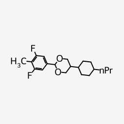 CCCC1CCC(C2COC(c3cc(F)c(C)c(F)c3)OC2)CC1